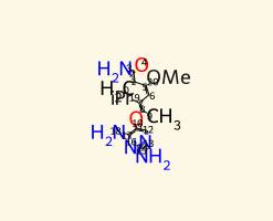 C=C(C(N)=O)/C(=C\C(=C(/C)Oc1cnc(N)nc1N)C(C)C)OC